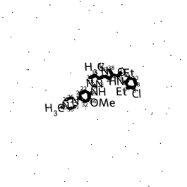 CCc1ccc(Cl)c(CC)c1NC(=O)c1cc(-c2ccnc(Nc3ccc(N4CCN(C)CC4)cc3OC)n2)n(C)c1